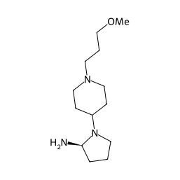 COCCCN1CCC(N2CCC[C@H]2N)CC1